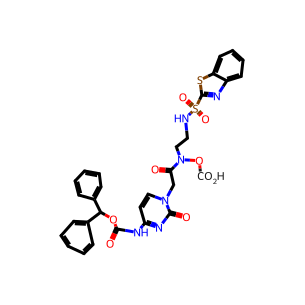 O=C(O)ON(CCNS(=O)(=O)c1nc2ccccc2s1)C(=O)Cn1ccc(NC(=O)OC(c2ccccc2)c2ccccc2)nc1=O